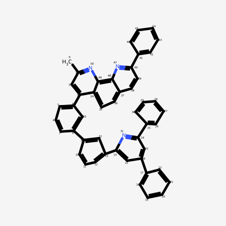 Cc1cc(-c2cccc(-c3cccc(-c4cc(-c5ccccc5)cc(-c5ccccc5)n4)c3)c2)c2ccc3ccc(-c4ccccc4)nc3c2n1